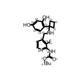 CC(C)(C)OC(=O)Nc1nccc(CNC2(c3ccc(O)cc3O)CCC2)c1F